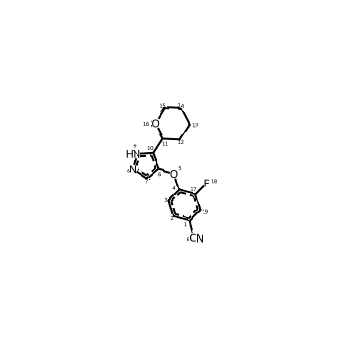 N#Cc1ccc(Oc2[c]n[nH]c2C2CCCCO2)c(F)c1